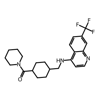 O=C(C1CCC(CNc2ccnc3cc(C(F)(F)F)ccc23)CC1)N1CCCCC1